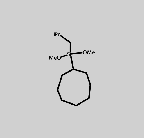 CO[Si](CC(C)C)(OC)C1CCCCCCC1